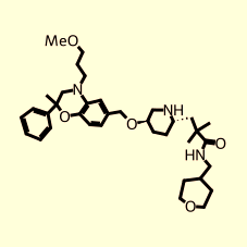 COCCCN1CC(C)(c2ccccc2)Oc2ccc(CO[C@@H]3CC[C@@H](CC(C)(C)C(=O)NCC4CCOCC4)NC3)cc21